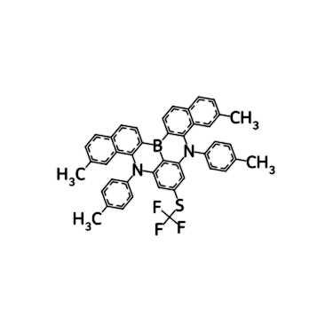 Cc1ccc(N2c3cc(SC(F)(F)F)cc4c3B(c3ccc5ccc(C)cc5c32)c2ccc3ccc(C)cc3c2N4c2ccc(C)cc2)cc1